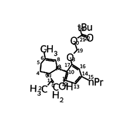 C=C(C)[C@@H]1CCC(C)=C[C@H]1c1c(O)cc(CCC)cc1OCOC(=O)C(C)(C)C